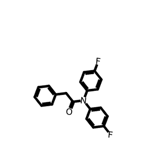 O=C(Cc1ccccc1)N(c1ccc(F)cc1)c1ccc(F)cc1